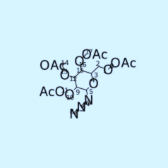 CC(=O)OOCC1OC(N=[N+]=[N-])C(OOC(C)=O)C(OOC(C)=O)C1OOC(C)=O